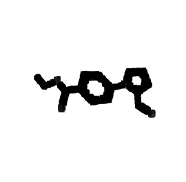 CCOC(=O)c1ccc(-n2cccc2C=O)cc1